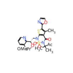 COc1cccnc1[C@H](CN1c2sc(-c3ncco3)c(C)c2C(=O)N(C(C)(C)C(C)=O)S1(=O)=O)OC(C)C